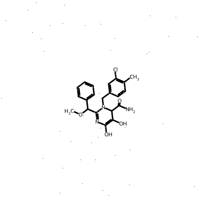 COC(C1=NC(O)=C(O)C(C(N)=O)N1Cc1ccc(C)c(Cl)c1)c1ccccc1